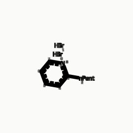 Br.Br.CCCCCc1ccccn1